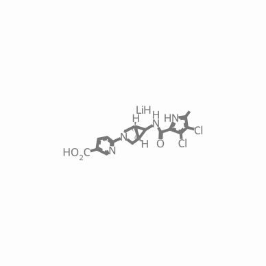 Cc1[nH]c(C(=O)NC2[C@H]3CN(c4ccc(C(=O)O)cn4)C[C@@H]23)c(Cl)c1Cl.[LiH]